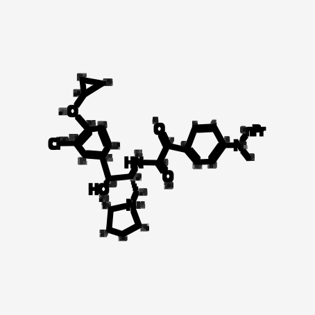 CCCN(C)c1ccc(C(=O)C(=O)N[C@H](CN2CCCC2)[C@H](O)c2ccc(OC3CC3)c(Cl)c2)cc1